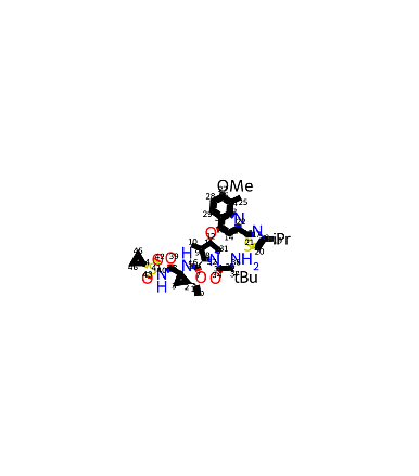 C=C[C@@H]1C[C@]1(NC(=O)[C@@H]1C(C)[C@@H](Oc2cc(-c3nc(C(C)C)cs3)nc3c(C)c(OC)ccc23)CN1C(=O)[C@@H](N)C(C)(C)C)C(=O)NS(=O)(=O)C1CC1